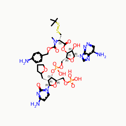 CN(C(=O)OCc1ccc(N)cc1)[C@H](CSSC(C)(C)C)C(=O)O[C@H]1[C@@H](O)[C@H](n2cnc3c(N)cnnc32)O[C@@H]1COP(=O)(O)O[C@H]1[C@@H](CC2CCCO2)[C@H](n2ccc(N)nc2=O)O[C@@H]1COP(=O)(O)O